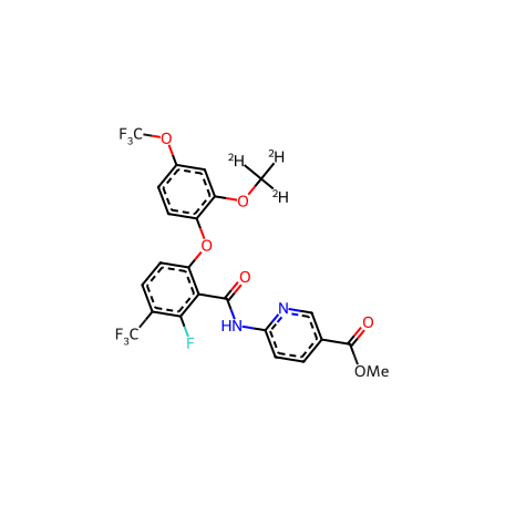 [2H]C([2H])([2H])Oc1cc(OC(F)(F)F)ccc1Oc1ccc(C(F)(F)F)c(F)c1C(=O)Nc1ccc(C(=O)OC)cn1